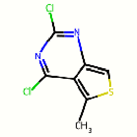 Cc1scc2nc(Cl)nc(Cl)c12